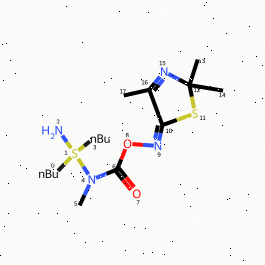 CCCCS(N)(CCCC)N(C)C(=O)ON=C1SC(C)(C)N=C1C